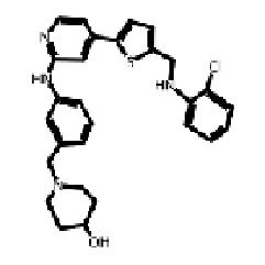 OC1CCN(Cc2cccc(Nc3cc(-c4ccc(CNc5ccccc5Cl)s4)ccn3)c2)CC1